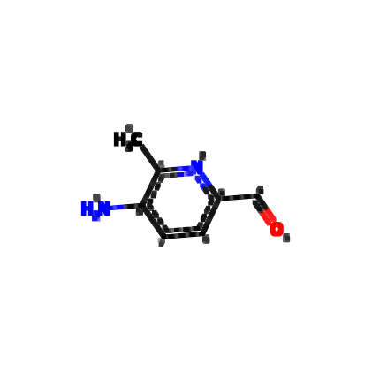 Cc1nc(C=O)ccc1N